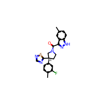 Cc1ccc2[nH]nc(C(=O)N3CC[C@](c4ccc(C)c(F)c4)(c4ncns4)C3)c2c1